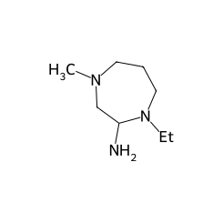 CCN1CCCN(C)CC1N